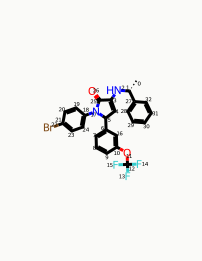 C[C@@H](NC1=CC(c2cccc(OC(F)(F)F)c2)N(c2ccc(Br)cc2)C1=O)c1ccccc1